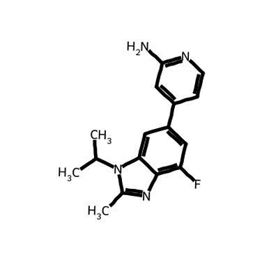 Cc1nc2c(F)cc(-c3ccnc(N)c3)cc2n1C(C)C